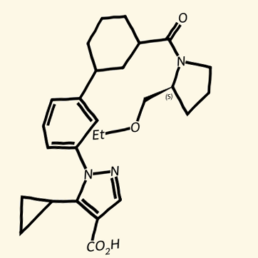 CCOC[C@@H]1CCCN1C(=O)C1CCCC(c2cccc(-n3ncc(C(=O)O)c3C3CC3)c2)C1